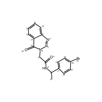 CC(NC(=O)Cn1nnc2ccccc2c1=O)c1ccc(Br)cc1